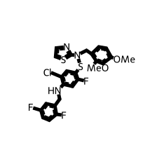 COc1ccc(CN(Sc2cc(Cl)c(NCc3cc(F)ccc3F)cc2F)c2nccs2)c(OC)c1